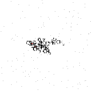 Cc1ccc2c(C3(NC(=O)c4cc(N5CC6CCC(C5)N6C(=O)OC(C)(C)C)ccc4C)CC3)cc(-c3coc(C)n3)cc2n1